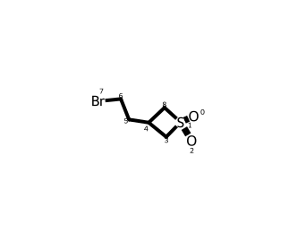 O=S1(=O)CC(CCBr)C1